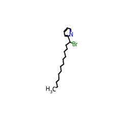 CCCCCCCCCCCCCC(Br)c1ccccn1